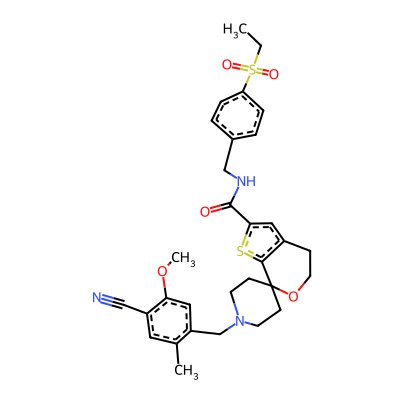 CCS(=O)(=O)c1ccc(CNC(=O)c2cc3c(s2)C2(CCN(Cc4cc(OC)c(C#N)cc4C)CC2)OCC3)cc1